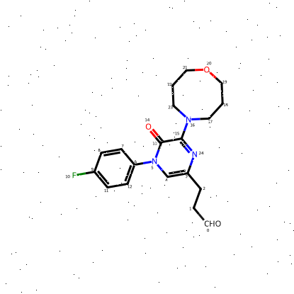 O=CCCc1cn(-c2ccc(F)cc2)c(=O)c(N2CCCOCCC2)n1